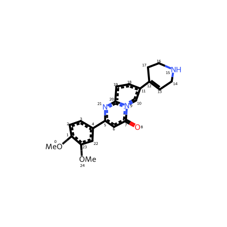 COc1ccc(-c2cc(=O)n3cc(C4=CCNCC4)ccc3n2)cc1OC